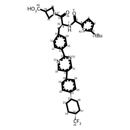 CC(C)(C)c1ccc(C(=O)N[C@@H](Cc2ccc(-c3ncc(-c4ccc([C@H]5CC[C@@H](C(F)(F)F)CC5)cc4)cn3)cc2)C(=O)N2CC(C(=O)O)C2)s1